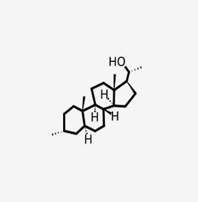 C[C@@H]1CC[C@@]2(C)[C@@H](CC[C@@H]3[C@@H]2CC[C@]2(C)[C@@H]([C@@H](C)O)CC[C@@H]32)C1